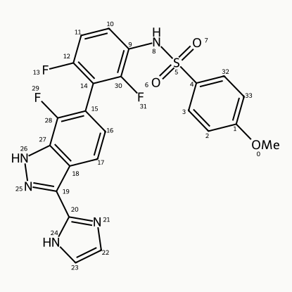 COc1ccc(S(=O)(=O)Nc2ccc(F)c(-c3ccc4c(-c5ncc[nH]5)n[nH]c4c3F)c2F)cc1